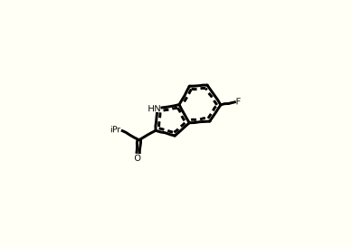 CC(C)C(=O)c1cc2cc(F)ccc2[nH]1